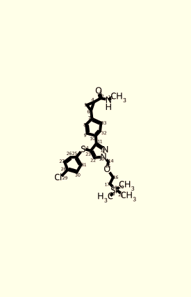 CNC(=O)C1CC1c1ccc(-c2nn(COCC[Si](C)(C)C)cc2Sc2ccc(Cl)cc2)cc1